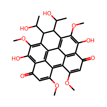 COc1c(O)c2c(=O)cc(OC)c3c4c(OC)cc(=O)c5c(O)c(OC)c6c(c(c1C(C(C)O)C6C(C)O)c23)c54